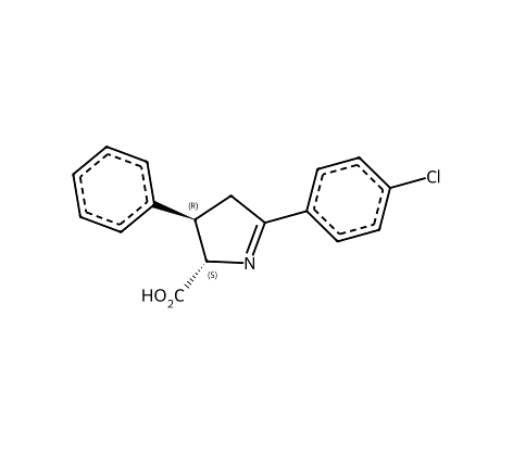 O=C(O)[C@H]1N=C(c2ccc(Cl)cc2)C[C@@H]1c1ccccc1